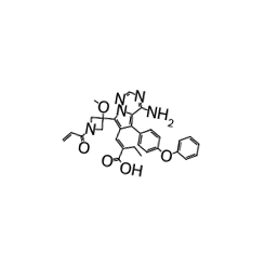 C=CC(=O)N1CC(OC)(c2c(C=C(CC)C(=O)O)c(-c3ccc(Oc4ccccc4)cc3)c3c(N)ncnn23)C1